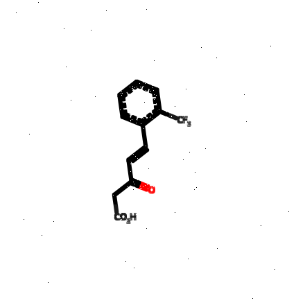 O=C(O)CC(=O)C=Cc1ccccc1C(F)(F)F